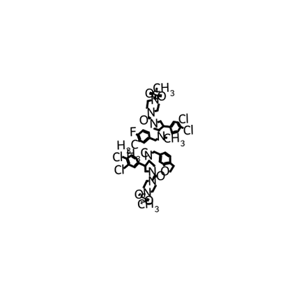 CN(Cc1ccc2c(c1)OCC2)C1CN(C(=O)N2CCN(S(C)(=O)=O)CC2)CC1c1ccc(Cl)c(Cl)c1.Cc1cc(CN(C)C2CN(C(=O)N3CCN(S(C)(=O)=O)CC3)CC2c2ccc(Cl)c(Cl)c2)ccc1F